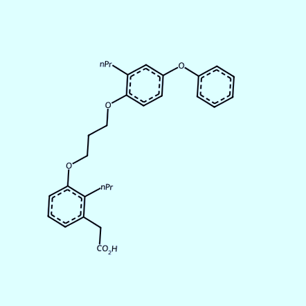 CCCc1cc(Oc2ccccc2)ccc1OCCCOc1cccc(CC(=O)O)c1CCC